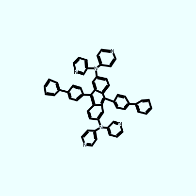 c1ccc(-c2ccc(-c3c4ccc(N(c5ccncc5)c5cccnc5)cc4c(-c4ccc(-c5ccccc5)cc4)c4ccc(N(c5ccncc5)c5cccnc5)cc34)cc2)cc1